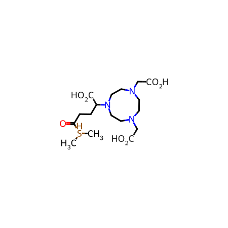 C[SH](C)C(=O)CCC(C(=O)O)N1CCN(CC(=O)O)CCN(CC(=O)O)CC1